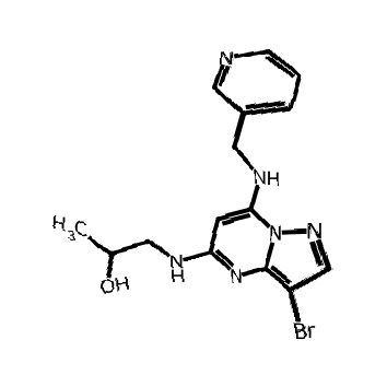 CC(O)CNc1cc(NCc2cccnc2)n2ncc(Br)c2n1